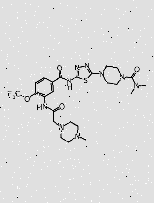 CN1CCN(CC(=O)Nc2cc(C(=O)Nc3nnc(N4CCN(C(=O)N(C)C)CC4)s3)ccc2OC(F)(F)F)CC1